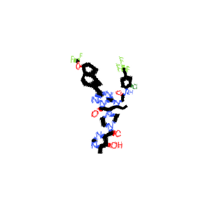 CCc1c(N2CCN(C(=O)c3ncnc(C)c3O)CC2)c(=O)n2nc(-c3ccc4c(c3)CC[C@@H]4OC(F)F)nc2n1CC(=O)Nc1ccc(C(F)(F)F)cc1Cl